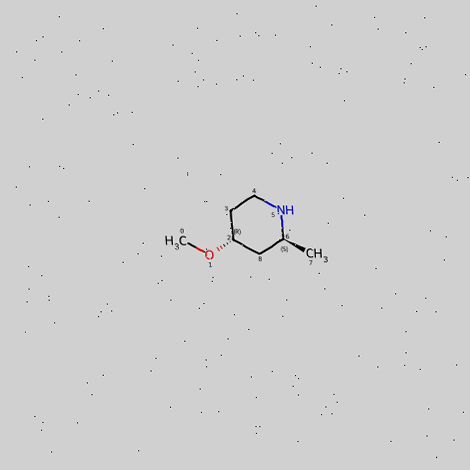 CO[C@@H]1CCN[C@@H](C)C1